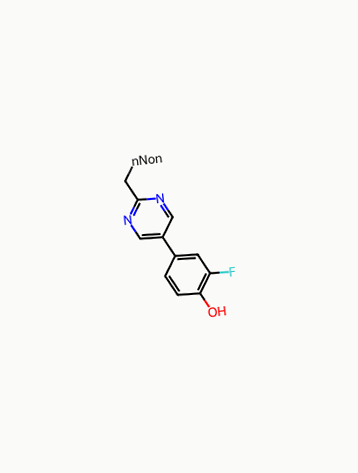 CCCCCCCCCCc1ncc(-c2ccc(O)c(F)c2)cn1